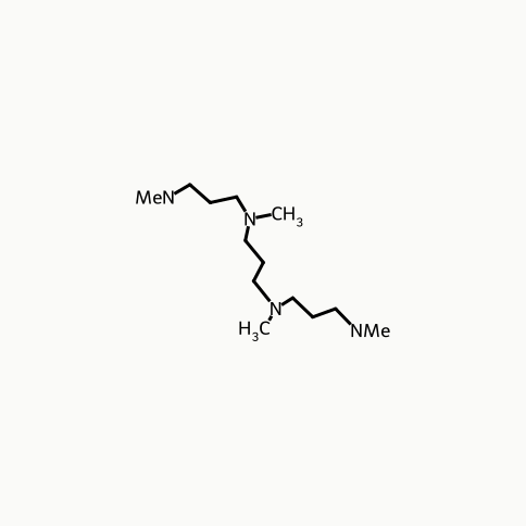 CNCCCN(C)CCCN(C)CCCNC